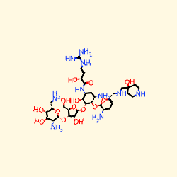 N=C(N)NCC[C@H](O)C(=O)N[C@@H]1C[C@H](N)[C@@H](O[C@H]2O[C@H](CNCC3(O)CCNCC3)CC[C@H]2N)[C@H](O[C@@H]2O[C@H](CO)[C@@H](O[C@H]3O[C@@H](CN)[C@@H](O)[C@H](O)[C@H]3N)[C@H]2O)[C@H]1O